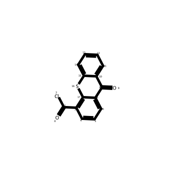 O=C(Cl)c1cccc2c(=O)c3ccccc3sc12